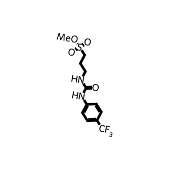 COS(=O)(=O)CCCNC(=O)Nc1ccc(C(F)(F)F)cc1